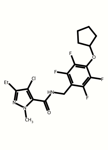 CCc1nn(C)c(C(=O)NCc2c(F)c(F)c(OC3CCCC3)c(F)c2F)c1Cl